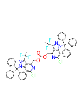 CC(F)(F)c1nn(C(c2ccccc2)(c2ccccc2)c2ccccc2)c2cc(Cl)nc(COC(=O)OCc3nc(Cl)cc4c3c(C(C)(F)F)nn4C(c3ccccc3)(c3ccccc3)c3ccccc3)c12